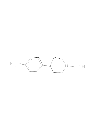 O=C(O)c1ccc(C2CCN(C(=O)O)CC2)cc1